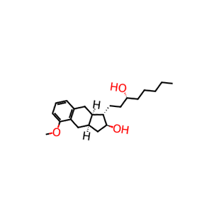 CCCCC[C@@H](O)CC[C@H]1[C@@H]2Cc3cccc(OC)c3C[C@@H]2C[C@@H]1O